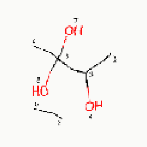 CC.CC(O)C(C)(O)O